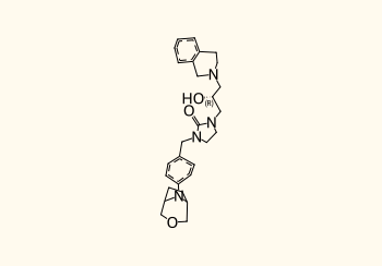 O=C1N(Cc2ccc(N3C4CCC3COC4)cc2)CCN1C[C@H](O)CN1CCc2ccccc2C1